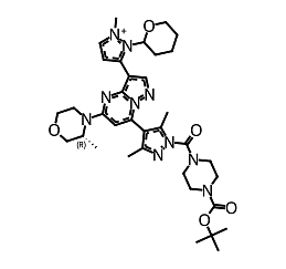 Cc1nn(C(=O)N2CCN(C(=O)OC(C)(C)C)CC2)c(C)c1-c1cc(N2CCOC[C@H]2C)nc2c(-c3cc[n+](C)n3C3CCCCO3)cnn12